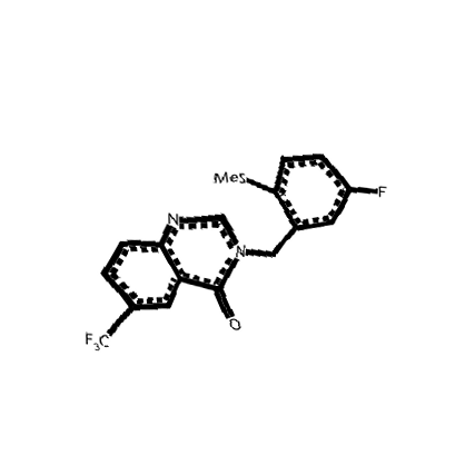 CSc1ccc(F)cc1Cn1cnc2ccc(C(F)(F)F)cc2c1=O